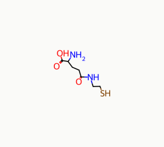 NC(CCC(=O)NCCS)C(=O)O